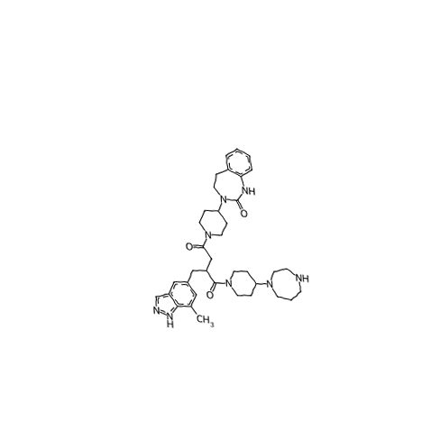 Cc1cc(CC(CC(=O)N2CCC(N3CCc4ccccc4NC3=O)CC2)C(=O)N2CCC(N3CCCNCC3)CC2)cc2cn[nH]c12